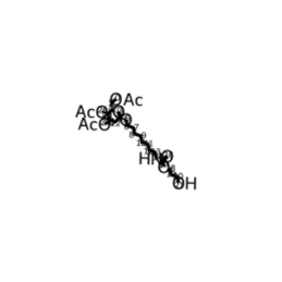 CC(=O)OC[C@H]1O[C@@H](OCCCCCCCCNC(=O)OCCCO)C[C@@H](OC(C)=O)[C@H]1OC(C)=O